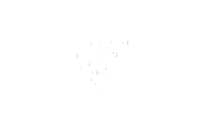 CC[C@H](C)O[C@@H](CN(CC)S(C)(=O)=O)CP(C)(C)=O